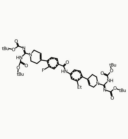 CCc1cc(NC(=O)c2ccc(C3=CCN(C(=NC(=O)OC(C)(C)C)NC(=O)OC(C)(C)C)CC3)c(F)c2)ccc1C1=CCN(C(=NC(=O)OC(C)(C)C)NC(=O)OC(C)(C)C)CC1